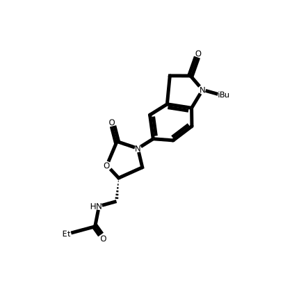 CCC(=O)NC[C@H]1CN(c2ccc3c(c2)CC(=O)N3C(C)CC)C(=O)O1